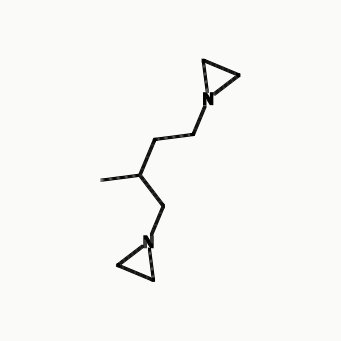 CC(CCN1CC1)CN1CC1